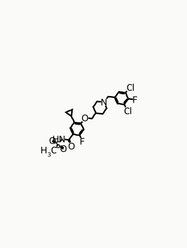 CS(=O)(=O)NC(=O)c1cc(C2CC2)c(OCC2CCN(Cc3cc(Cl)c(F)c(Cl)c3)CC2)cc1F